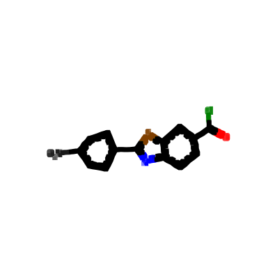 O=C(Cl)c1ccc2nc(-c3ccc([N+](=O)[O-])cc3)sc2c1